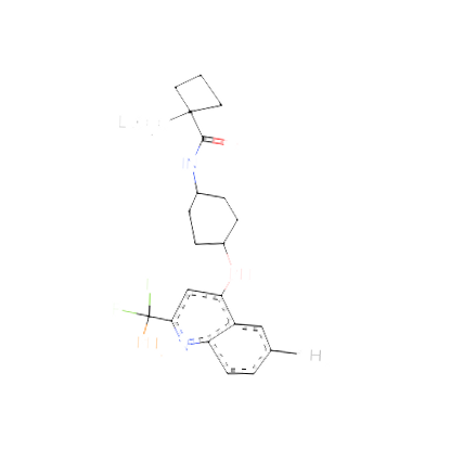 CCOC(=O)C1(C(=O)NC2CCC(Bc3cc(C(F)(F)P)nc4ccc(C)cc34)CC2)CCC1